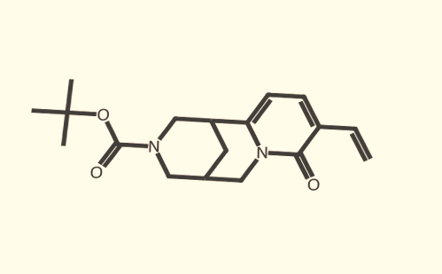 C=Cc1ccc2n(c1=O)CC1CC2CN(C(=O)OC(C)(C)C)C1